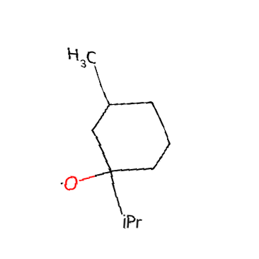 CC1CCCC([O])(C(C)C)C1